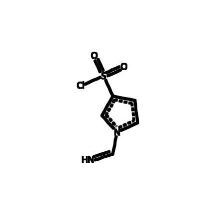 N=Cn1ccc(S(=O)(=O)Cl)c1